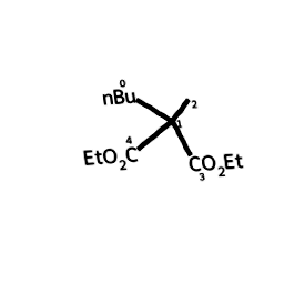 CCCCC(C)(C(=O)OCC)C(=O)OCC